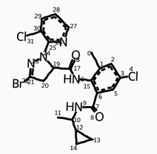 Cc1cc(Cl)cc(C(=O)NC(C)C2CC2)c1NC(=O)C1CC(Br)=NN1c1ncccc1Cl